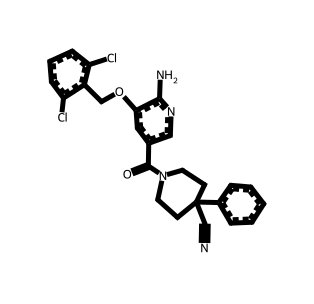 N#CC1(c2ccccc2)CCN(C(=O)c2cnc(N)c(OCc3c(Cl)cccc3Cl)c2)CC1